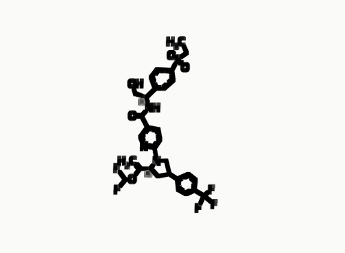 C=C(OC(F)F)[C@@H]1CC(c2ccc(C(F)(F)F)cc2)CN1c1ccc(C(=O)N[C@@H](CO)c2ccc(S(=O)(=O)CC)cc2)cn1